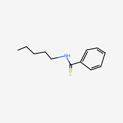 CCCCCNC(=S)c1ccccc1